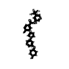 Cc1ccc(C(=O)Nc2cncc(C(F)(F)F)c2)cc1[C@@H]1CCN(c2cncc(OC3CCN(C)CC3)c2)C1